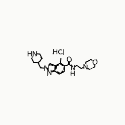 Cc1c(C(=O)NCCN2CCOCC2)ccc2nn(CC3CCNCC3)cc12.Cl